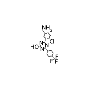 NCc1ccc(Cl)c(-c2nc(O)nc(-c3ccc(C(F)(F)F)cc3)n2)c1